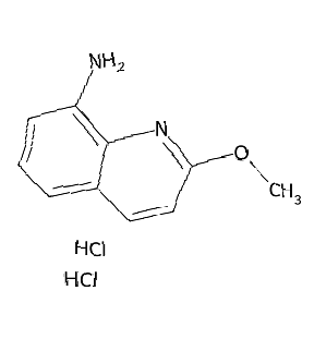 COc1ccc2cccc(N)c2n1.Cl.Cl